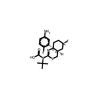 CC(C)(C)N(C(=O)O)C1=N[C@@]2(c3cc(N)ccc3F)CC[C@@H](F)C[C@H]2CS1